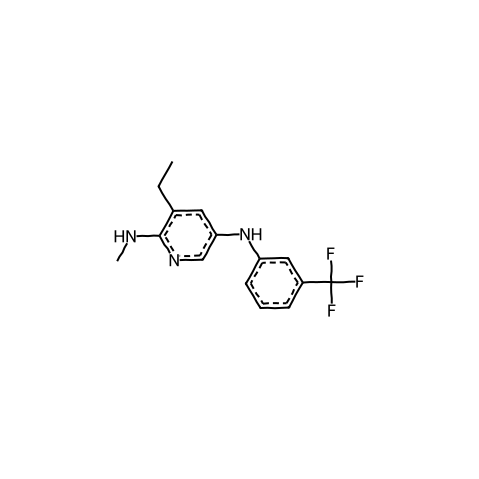 CCc1cc(Nc2cccc(C(F)(F)F)c2)cnc1NC